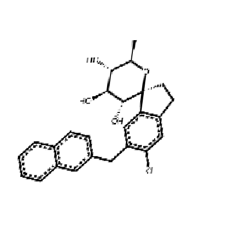 C[C@H]1O[C@]2(CCc3cc(Cl)c(Cc4ccc5ccccc5c4)cc32)[C@H](O)[C@@H](O)[C@@H]1O